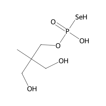 CC(CO)(CO)COP(=O)(O)[SeH]